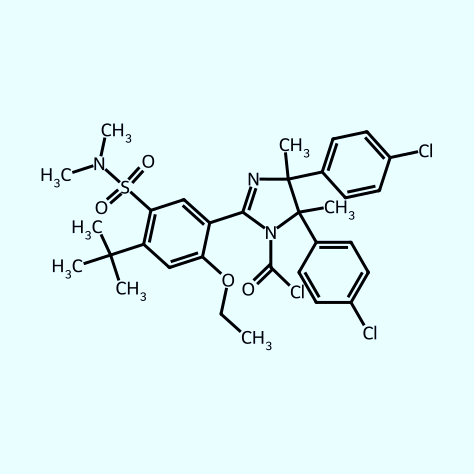 CCOc1cc(C(C)(C)C)c(S(=O)(=O)N(C)C)cc1C1=NC(C)(c2ccc(Cl)cc2)C(C)(c2ccc(Cl)cc2)N1C(=O)Cl